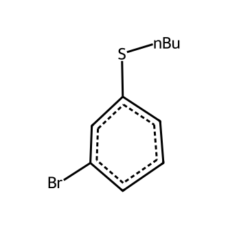 CCCCSc1cccc(Br)c1